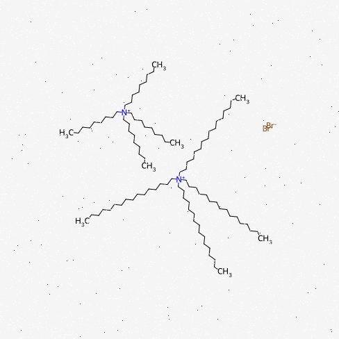 CCCCCCCCCCCCCCCC[N+](CCCCCCCCCCCCCCCC)(CCCCCCCCCCCCCCCC)CCCCCCCCCCCCCCCC.CCCCCCCCC[N+](CCCCCCCCC)(CCCCCCCCC)CCCCCCCCC.[Br-].[Br-]